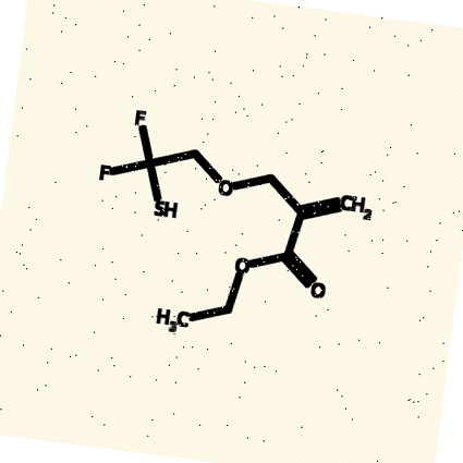 C=C(COCC(F)(F)S)C(=O)OCC